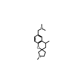 CC1CC2(CCN(C)C2)Oc2ccc(CN(C)C)cc21